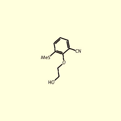 CSc1cccc(C#N)c1OCCO